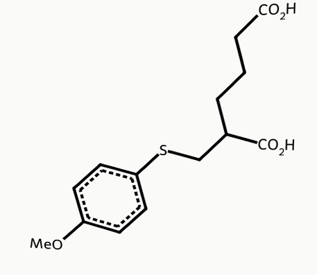 COc1ccc(SCC(CCCC(=O)O)C(=O)O)cc1